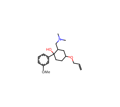 C=CCOC1CCC(O)(c2cccc(OC)c2)C(CN(C)C)C1